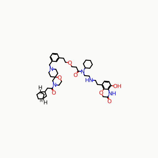 O=C1COc2c(CCNCCN(C(=O)CCOCCc3cccc(CN4CCC5(CC4)CN(C(=O)CC4C[C@@H]6CC[C@H]4C6)CCO5)c3)C3CCCCC3)ccc(O)c2N1